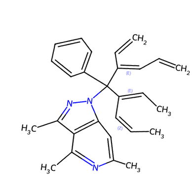 C=C/C=C(\C=C)C(C(/C=C\C)=C/C)(c1ccccc1)n1nc(C)c2c(C)nc(C)cc21